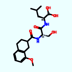 COc1cccc2c1CC(C(=O)N[C@@H](CO)C(=O)N[C@@H](CC(C)C)B(O)O)CC2